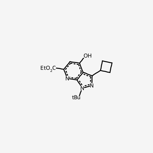 CCOC(=O)c1cc(O)c2c(C3CCC3)nn(C(C)(C)C)c2n1